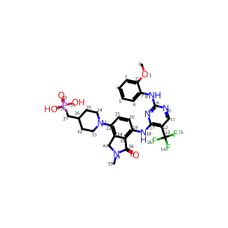 COc1ccccc1Nc1ncc(C(F)(F)F)c(Nc2ccc(N3CCC(CP(=O)(O)O)CC3)c3c2C(=O)N(C)C3)n1